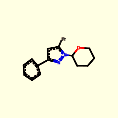 CC(C)c1cc(-c2ccccc2)nn1C1CCCCO1